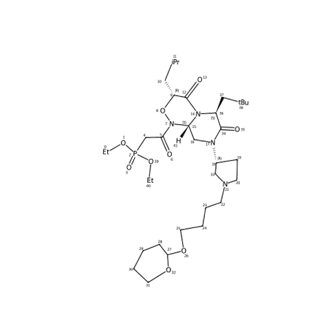 CCOP(=O)(CC(=O)N1O[C@H](CC(C)C)C(=O)N2[C@@H]1CN([C@@H]1CCN(CCCCOC3CCCCO3)C1)C(=O)[C@@H]2CC(C)(C)C)OCC